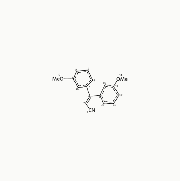 COc1cccc(C(=CC#N)c2cccc(OC)c2)c1